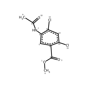 COC(=O)c1cc(NC(C)=S)c(Cl)cc1Cl